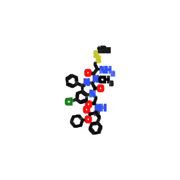 CN(C(=O)C(N)CSSC(C)(C)C)C1N=C(c2ccccc2)c2cc(Cl)ccc2N(CC(=O)N[C@@H](Cc2ccccc2)C(=O)OC2CCCCC2)C1=O